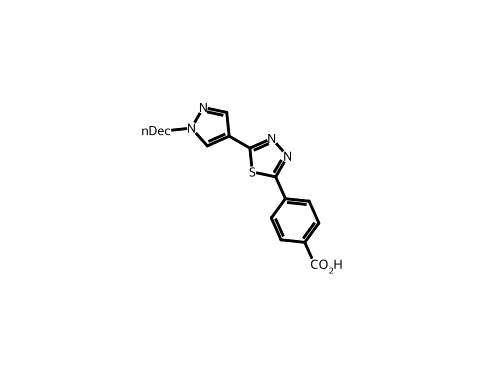 CCCCCCCCCCn1cc(-c2nnc(-c3ccc(C(=O)O)cc3)s2)cn1